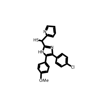 COc1ccc(-c2[nH]c(C(S)c3ccccn3)nc2-c2ccc(Cl)cc2)cc1